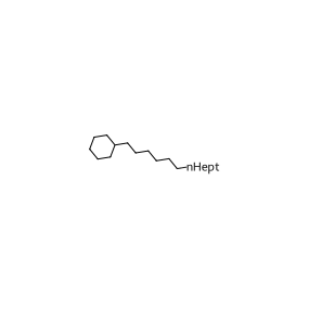 [CH2]CCCCCCCCCCCCC1CCCCC1